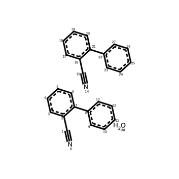 N#Cc1ccccc1-c1ccccc1.N#Cc1ccccc1-c1ccccc1.O